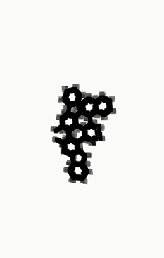 Cc1cc2c(c(-c3nnnc(-c4cccc5ccccc45)c3-c3c(C)c(C)cc4c3Cc3ccccc3-4)c1C)Cc1ccccc1-2